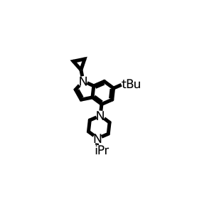 CC(C)N1CCN(c2cc(C(C)(C)C)cc3c2ccn3C2CC2)CC1